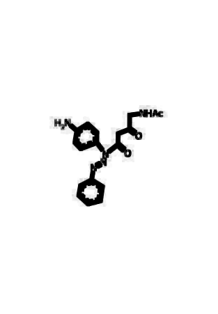 CC(=O)NCC(=O)CC(=O)N(N=Nc1ccccc1)c1ccc(N)cc1